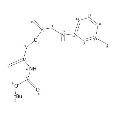 C=C(CCC(=C)NC(=O)OC(C)(C)C)CNc1cccc(C)c1